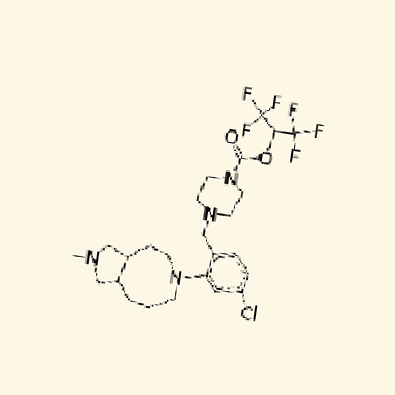 CN1CC2CCCN(c3cc(Cl)ccc3CN3CCN(C(=O)OC(C(F)(F)F)C(F)(F)F)CC3)CCC2C1